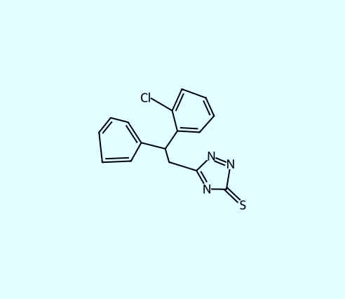 S=C1N=NC(CC(c2ccccc2)c2ccccc2Cl)=N1